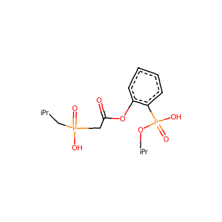 CC(C)CP(=O)(O)CC(=O)Oc1ccccc1P(=O)(O)OC(C)C